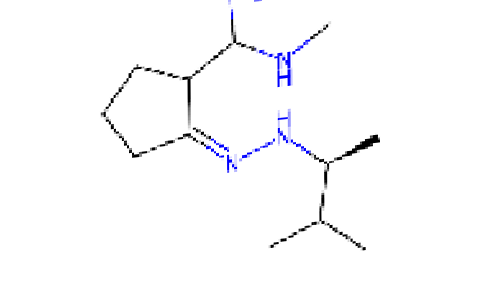 CNC(N)C1CCC/C1=N/N[C@@H](C)C(C)C